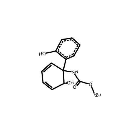 CC(C)(C)OC(=O)NC1(c2ccccc2O)C=CC=C[C@H]1O